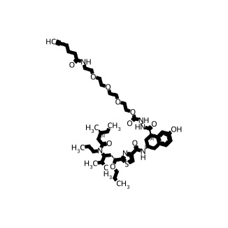 C#CCCCC(=O)NCCOCCOCCOCCOC(=O)NNC(=O)[C@@H]1C[C@@H](NC(=O)c2csc([C@@H](CC(C(C)C)N(CCC)C(=O)C[C@@H](C)CC)OCCC)n2)Cc2ccc(O)cc21